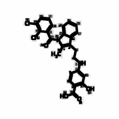 Cc1c(CCNc2ccc(C(=O)O)c(O)c2)c2ccccc2n1C(=O)c1cccc(Cl)c1Cl